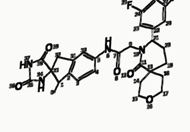 CC1c2ccc(NC(=O)CN3C(=O)C4(CCOCC4)CC[C@H]3c3cc(F)cc(F)c3)cc2CC12NC(=O)NC2=O